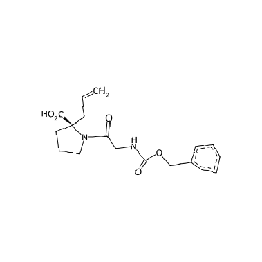 C=CC[C@@]1(C(=O)O)CCCN1C(=O)CNC(=O)OCc1ccccc1